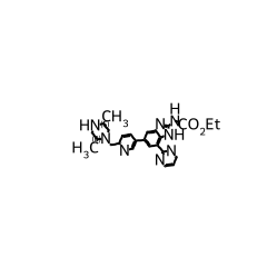 CCOC(=O)Nc1nc2cc(-c3ccc(CN4C[C@H](C)NC[C@H]4C)nc3)cc(-c3ncccn3)c2[nH]1